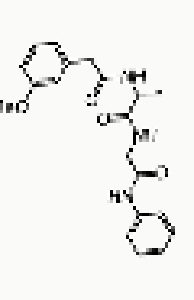 COc1cccc(CC(=O)N[C@@H](C)C(=O)NCC(=O)Nc2ccccc2)c1